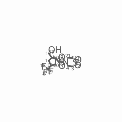 O=S1(=O)CCN(S(=O)(=O)N2CC(CO)CC(C(F)(F)F)C2)CC1